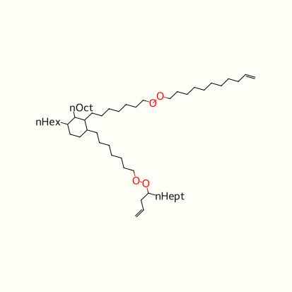 C=CCCCCCCCCCOOCCCCCCCC1C(CCCCCCCOOC(CC=C)CCCCCCC)CCC(CCCCCC)C1CCCCCCCC